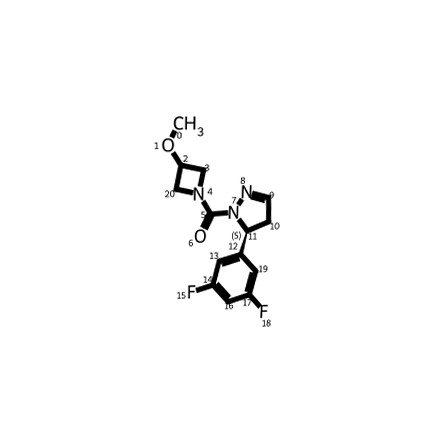 COC1CN(C(=O)N2N=CC[C@H]2c2cc(F)cc(F)c2)C1